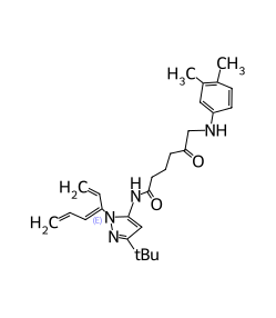 C=C/C=C(\C=C)n1nc(C(C)(C)C)cc1NC(=O)CCCC(=O)CNc1ccc(C)c(C)c1